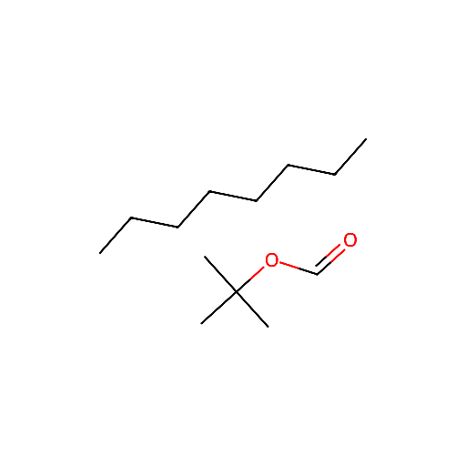 CC(C)(C)OC=O.CCCCCCCC